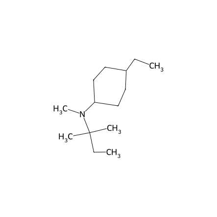 CCC1CCC(N(C)C(C)(C)CC)CC1